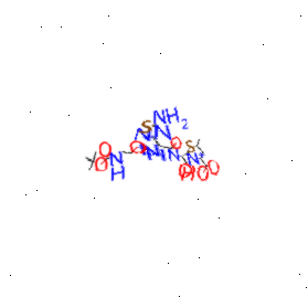 CC1CC(C(=O)O)[N+]2=C(S1)C(NC(=O)C(=NOCCNC(=O)OC(C)(C)C)c1nsc(N)n1)C2=O